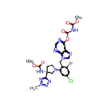 Cn1nnc([C@@]2(NC(=O)OC(C)(C)C)CCN(c3cc(Cl)cc(Br)c3Cn3cnc4c(OC(=O)NC(=O)OC(C)(C)C)ncnc43)C2)n1